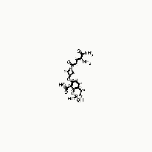 N[C@H](CCC(=O)N1CC(Oc2ccc3c(c2C(=O)O)O[B-](O)(O)CC3)C1)C([NH3+])=O